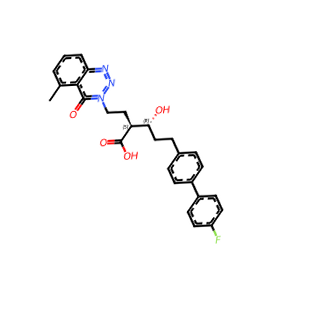 Cc1cccc2nnn(CC[C@H](C(=O)O)[C@H](O)CCc3ccc(-c4ccc(F)cc4)cc3)c(=O)c12